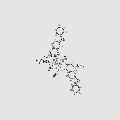 CCCN(Cc1ccc(Oc2ccccc2)cc1)C(=O)[C@@H]1[C@H](C(=O)O)[C@@H](CC#N)[C@H]1C(=O)N(CCC)Cc1ccc(Oc2ccccc2)cc1